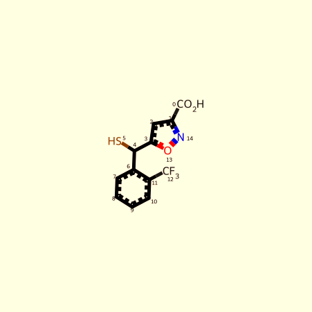 O=C(O)c1cc(C(S)c2ccccc2C(F)(F)F)on1